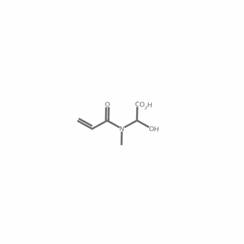 C=CC(=O)N(C)C(O)C(=O)O